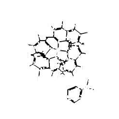 C[NH+](C)c1ccccc1.Fc1c(F)c(F)c([B-](c2c(F)c(F)c(F)c3c(F)c(F)c(F)c(F)c23)(c2c(F)c(F)c(F)c3c(F)c(F)c(F)c(F)c23)c2c(F)c(F)c(F)c3c(F)c(F)c(F)c(F)c23)c(F)c1F